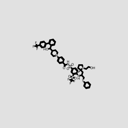 C[C@@]1(CC(CSc2ccccc2)Nc2ccc(S(=O)(=O)NC(=O)c3ccc(N4CCC(C(O)c5ccccc5-c5ccc(C(F)(F)F)cc5)CC4)cc3)cc2S(=O)(=O)C(F)(F)F)CCCN1CCO